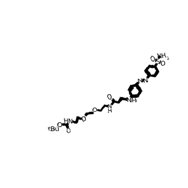 CC(C)(C)OC(=O)NCCOCCOCCNC(=O)CCNc1ccc(/N=N/c2ccc(S(N)(=O)=O)cc2)cc1